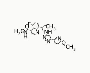 CCOc1ccc(-c2cc(NCC(CC)c3ccc(F)c4c(C(=O)NC)ccnc34)ncn2)cn1